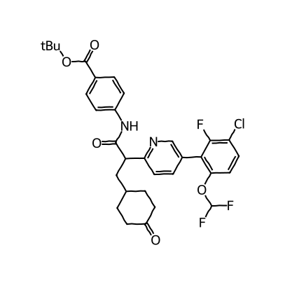 CC(C)(C)OC(=O)c1ccc(NC(=O)C(CC2CCC(=O)CC2)c2ccc(-c3c(OC(F)F)ccc(Cl)c3F)cn2)cc1